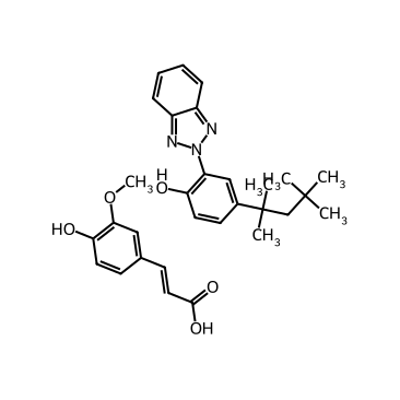 CC(C)(C)CC(C)(C)c1ccc(O)c(-n2nc3ccccc3n2)c1.COc1cc(C=CC(=O)O)ccc1O